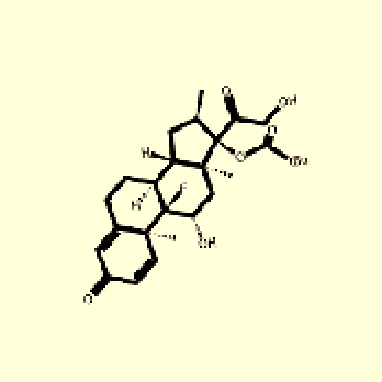 C[C@@H]1C[C@H]2[C@@H]3CCC4=CC(=O)C=C[C@]4(C)[C@@]3(F)[C@@H](O)C[C@]2(C)[C@@]1(OC(=O)C(C)(C)C)C(=O)CO